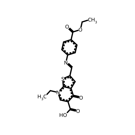 CCOC(=O)c1ccc(/N=C/c2cc3c(=O)c(C(=O)O)cn(CC)c3s2)cc1